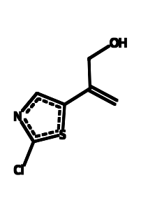 C=C(CO)c1cnc(Cl)s1